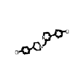 Clc1ccc(-c2ccnc(CN3CCC(c4ccc(Cl)cc4)CC3)c2)cc1